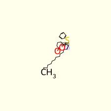 CCCCCCCCCCCC/C=C\[C@@H](Sc1ccccc1)[C@@H]1CCCC(=O)O1